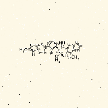 Cc1cc(-c2[nH]c3cnc(N4CCC(NC(C)C)CC4)c(F)c3c2C(C)C)cn2ncnc12